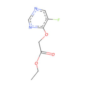 CCOC(=O)COc1ncncc1F